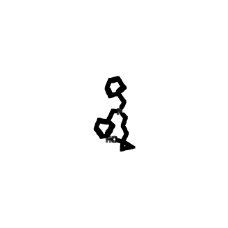 OC1(CCCN(Cc2ccccc2)Cc2ccccc2)CC1